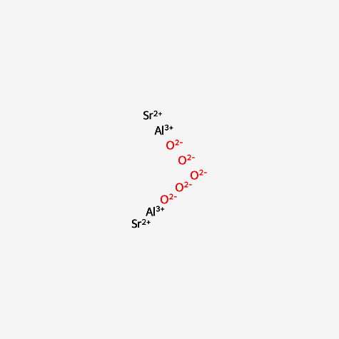 [Al+3].[Al+3].[O-2].[O-2].[O-2].[O-2].[O-2].[Sr+2].[Sr+2]